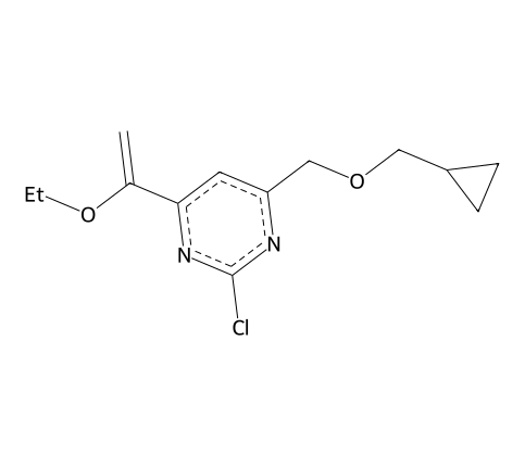 C=C(OCC)c1cc(COCC2CC2)nc(Cl)n1